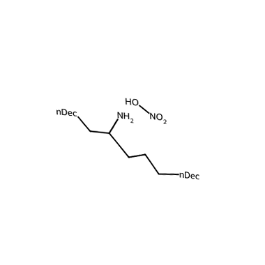 CCCCCCCCCCCCCC(N)CCCCCCCCCCC.O=[N+]([O-])O